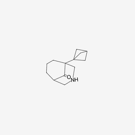 O=C1C2CCCC1(C13CC(C1)C3)CNC2